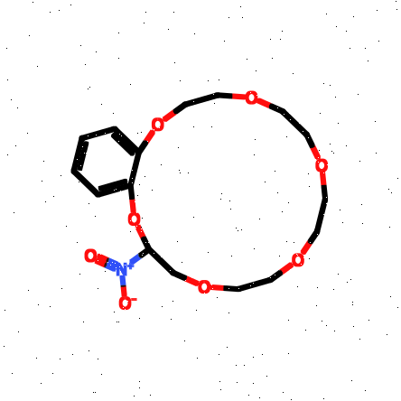 O=[N+]([O-])C1COCCOCCOCCOCCOc2ccccc2O1